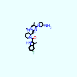 C=NN1C=C(C)C(N2CC[C@H](N)C2)=N/C1=C/C1CCCCN1C(=O)c1[nH]c2ccc(F)cc2c1C